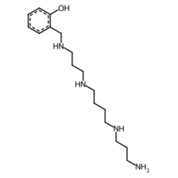 NCCCNCCCCNCCCNCc1ccccc1O